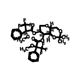 COC(C(=O)O[C@@H]1[C@@H]2OC(C)(C)OC[C@H]2OC[C@@H]1OC(=O)[C@@](OC)(c1ccccc1)C(F)(F)F)(c1ccccc1)C(F)(F)F